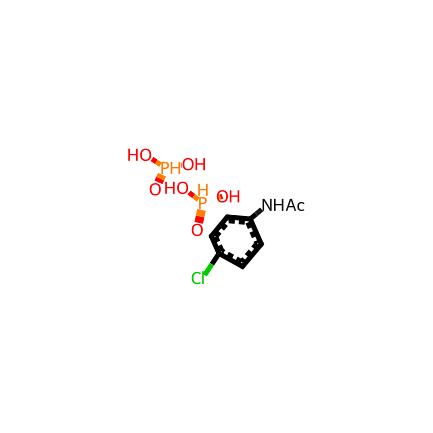 CC(=O)Nc1ccc(Cl)cc1.O=[PH](O)O.O=[PH](O)O